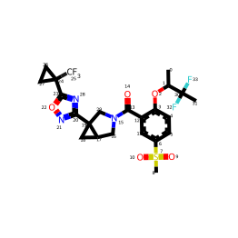 CC(Oc1ccc(S(C)(=O)=O)cc1C(=O)N1CC2CC2(c2noc(C3(C(F)(F)F)CC3)n2)C1)C(C)(F)F